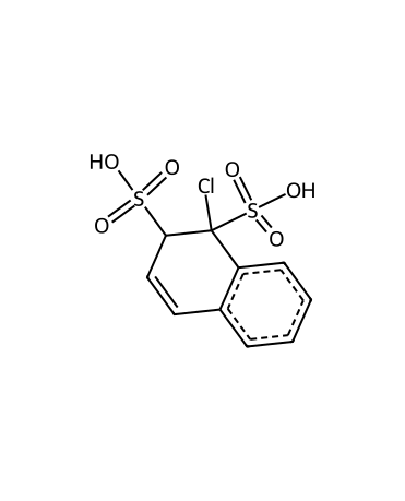 O=S(=O)(O)C1C=Cc2ccccc2C1(Cl)S(=O)(=O)O